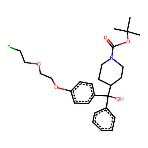 CC(C)(C)OC(=O)N1CCC(C(O)(c2ccccc2)c2ccc(OCCOCCF)cc2)CC1